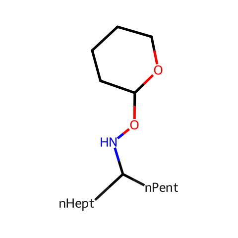 CCCCCCCC(CCCCC)NOC1CCCCO1